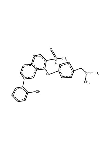 CN(C)Cc1ccc(Nc2c(S(C)(=O)=O)cnc3ccc(-c4ccccc4O)cc23)cc1